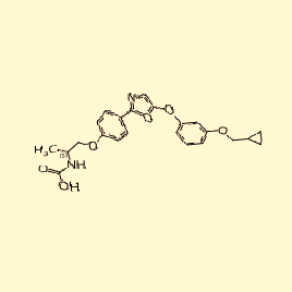 C[C@@H](COc1ccc(-c2ncc(Oc3cccc(OCC4CC4)c3)o2)cc1)NC(=O)O